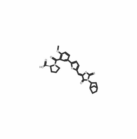 COc1ccc(-c2ccc(/C=C3\SC(=S)N(C4CC5CCC4C5)C3=O)o2)cc1C(=O)N1CCC[C@H]1C(=O)O